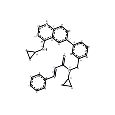 O=C(/C=C/c1ccccc1)N(Cc1cccc(-c2ccc3ncnc(NC4CC4)c3c2)c1)C1CC1